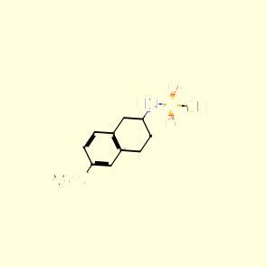 CSc1ccc2c(c1)CCC(NS(C)(=O)=O)C2